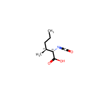 CCC[C@H](C)[C@H](N=C=O)C(=O)O